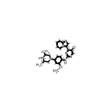 COc1cc(N2CC(C)NC(C)C2)ccc1Nc1ncc(Cl)c(-c2cnc3ccccn23)n1